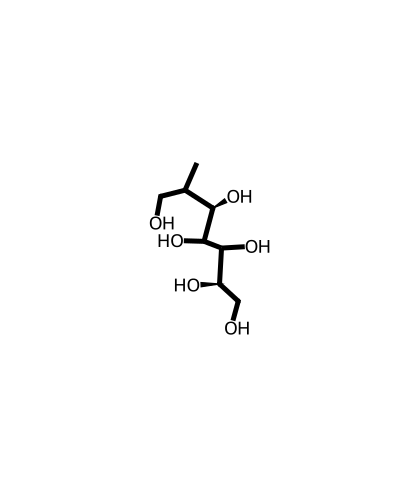 CC(CO)[C@@H](O)C(O)C(O)[C@H](O)CO